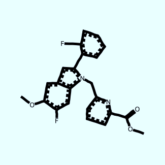 COC(=O)c1cccc(Cn2c(-c3ccccc3F)cc3cc(OC)c(F)cc32)n1